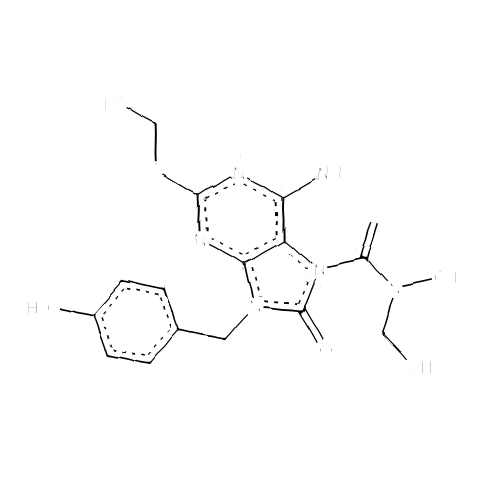 CCSc1nc(N)c2c(n1)n(Cc1ccc(C)cc1)c(=O)n2C(=O)N(C)CC